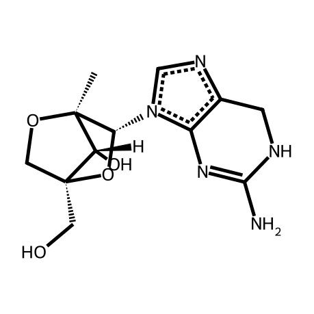 C[C@]12OC[C@](CO)(O[C@H]1n1cnc3c1N=C(N)NC3)[C@H]2O